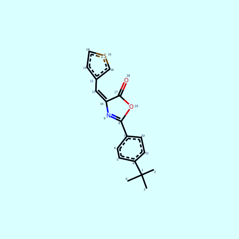 CC(C)(C)c1ccc(C2=N/C(=C/c3ccsc3)C(=O)O2)cc1